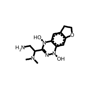 CN(C)C(CN)C1=NN(O)c2cc3c(cc2N1O)CCO3